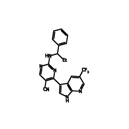 CCC(Nc1ncc(C#N)c(-c2c[nH]c3ncc(C(F)(F)F)cc23)n1)c1ccccc1